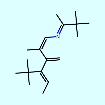 C=C(C(=CC)C(C)(C)C)/C(C)=C\N=C(/C)C(C)(C)C